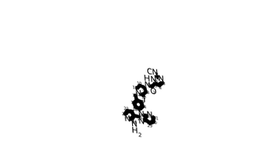 N#Cc1nccc(C(=O)NC2CCN(Cc3ccc(-n4c(-c5cccnc5N)nc5cccnc54)cc3)C(I)C2)n1